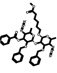 COC(=O)CCCCCO[C@H]1OC(C)C(N=[N+]=[N-])C(OCc2ccccc2)C1O[C@H]1OC(C)C(N=[N+]=[N-])C(OC(=O)c2ccccc2)C1OCc1ccccc1